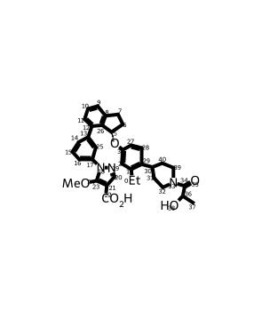 CCc1cc(O[C@H]2CCc3cccc(-c4cccc(-n5ncc(C(=O)O)c5OC)c4)c32)ccc1C1CCN(C(=O)C(C)O)CC1